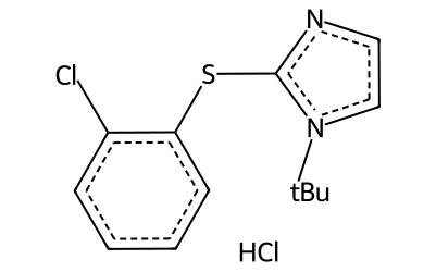 CC(C)(C)n1ccnc1Sc1ccccc1Cl.Cl